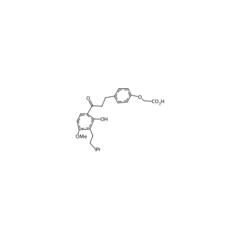 COc1ccc(C(=O)CCc2ccc(OCC(=O)O)cc2)c(O)c1CCC(C)C